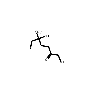 NCC(=O)CCC(N)(CF)C(=O)O